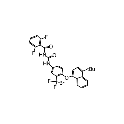 CC(C)(C)c1ccc(Oc2ccc(NC(=O)NC(=O)c3c(F)cccc3F)cc2C(F)(F)Br)c2ccccc12